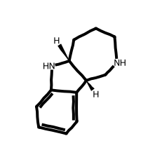 c1ccc2c(c1)N[C@@H]1CCCNC[C@H]21